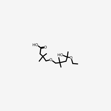 CCOC(C)(O)CC(C)(C)COCC(C)(C)CC(=O)O